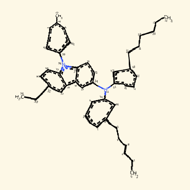 CCCCCCc1cccc(N(c2cccc(CCCCCC)c2)c2ccc3c(c2)c2cc(CC)ccc2n3-c2ccc(C)cc2)c1